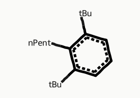 C[CH]CCCc1c(C(C)(C)C)cccc1C(C)(C)C